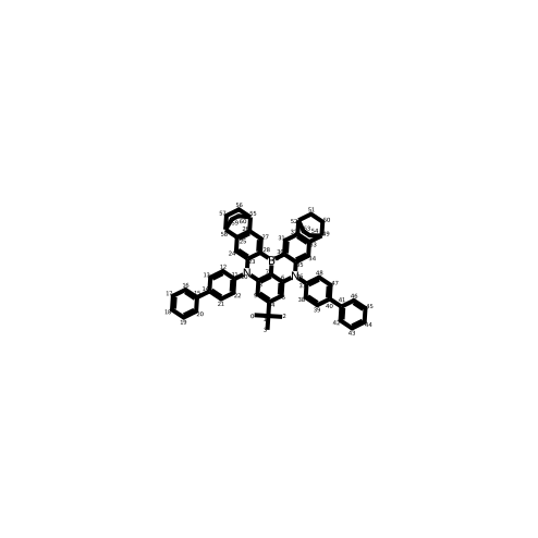 CC(C)(C)c1cc2c3c(c1)N(c1ccc(-c4ccccc4)cc1)c1cc4c(cc1B3c1cc3c(cc1N2c1ccc(-c2ccccc2)cc1)C1CCC3CC1)C1CCC4CC1